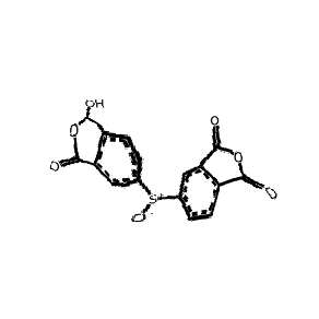 O=C1OC(=O)c2cc([S+]([O-])c3ccc4c(c3)C(=O)OC4O)ccc21